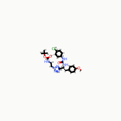 COc1ccc(C[C@H](NC(=O)Nc2ccc(Cl)cc2)c2nnn(CCNC(=O)OC(C)(C)C)n2)cc1